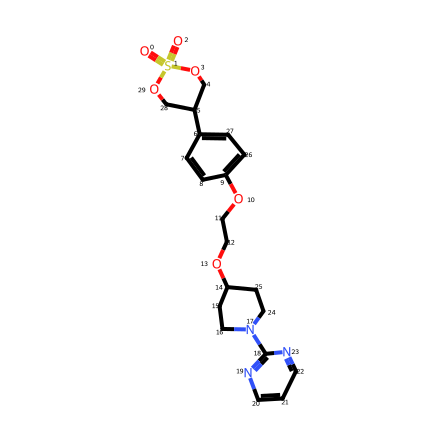 O=S1(=O)OCC(c2ccc(OCCOC3CCN(c4ncccn4)CC3)cc2)CO1